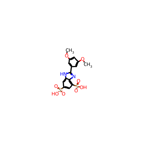 COc1cc(OC)cc(-c2nc3c(S(=O)(=O)O)cc(S(=O)(=O)O)cc3[nH]2)c1